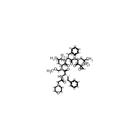 COCN(C(=O)[C@H](CCc1ccccc1)NC(=O)CN1CCOCC1)[C@@H](CC(C)C)C(=O)N[C@@H](Cc1ccccc1)C(=O)N[C@@H](CC(C)C)C(=O)[C@@]1(C)CO1